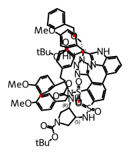 COc1ccc(CN(Cc2ccc(OC)cc2)S(=O)(=O)c2c(S(=O)(=O)N[C@H]3CN(C(=O)OC(C)(C)C)C[C@H]3NC(=O)OCc3ccccc3)ccc(-c3cccc4[nH]c([C@@H](COCc5ccccc5)NC(=O)OC(C)(C)C)nc34)c2-c2nnn(Cc3ccc(OC)cc3)n2)cc1